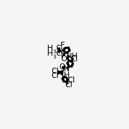 CN(C)c1c(F)ccc(NC(=O)c2cc(NC(=O)[C@H]3[C@H](c4ccc(Cl)c(Cl)c4)C3(Cl)Cl)ccc2Cl)c1F